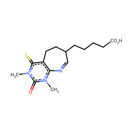 Cn1c2c(c(=S)n(C)c1=O)CCC(CCCCC(=O)O)C=N2